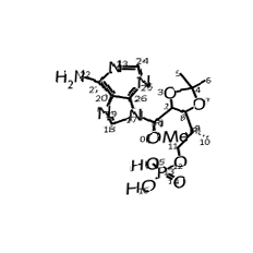 CO[C@H](C1OC(C)(C)OC1[C@H](C)COP(=O)(O)O)n1cnc2c(N)ncnc21